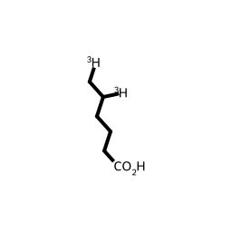 [3H]CC([3H])CCCC(=O)O